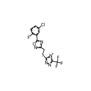 Cn1c(SCc2noc(-c3cc(Cl)ccc3F)n2)nnc1C(F)(F)F